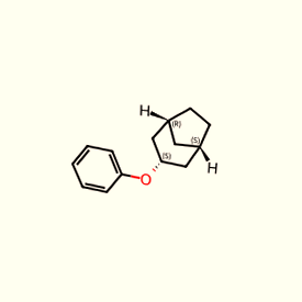 c1ccc(O[C@@H]2C[C@@H]3CC[C@@H](C3)C2)cc1